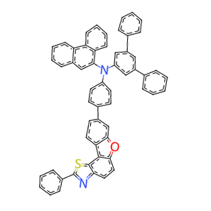 c1ccc(-c2cc(-c3ccccc3)cc(N(c3ccc(-c4ccc5c(c4)oc4ccc6nc(-c7ccccc7)sc6c45)cc3)c3cc4ccccc4c4ccccc34)c2)cc1